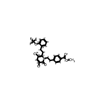 COC(=O)c1ccc(CCn2c(CCc3ccccc3OC(F)(F)F)c(Cl)cc(Cl)c2=O)cc1